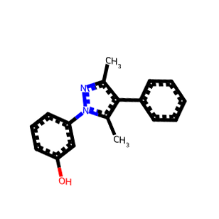 Cc1nn(-c2cccc(O)c2)c(C)c1-c1ccccc1